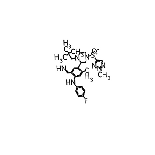 Cc1cc(Nc2ccc(F)cc2)c(C=N)cc1C1CN([S+]([O-])c2cnn(C)n2)CCN1CC(C)(C)C